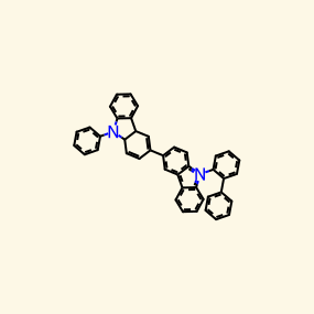 C1=CC2C(C=C1c1ccc3c(c1)c1ccccc1n3-c1ccccc1-c1ccccc1)c1ccccc1N2c1ccccc1